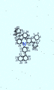 c1ccc2c(c1)-c1ccc(N(c3ccc(-c4cccc5ccccc45)cc3)c3cccc4c3-c3ccccc3C43C4CCC5CC(C4)CC3C5)cc1C21CC2CCC1C2